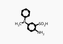 CN(c1ccccc1)c1ccc(N)c(S(=O)(=O)O)c1